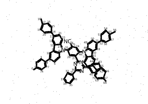 Cc1ccc(-c2ccc3c(c2)c2cc(-c4ccc(C)cc4)ccc2n3-c2cc(-c3nc(-c4ccccc4)nc(-c4ccccc4)n3)c(-n3c4ccc(-c5ccc(C)cc5)cc4c4cc(-c5ccc(C)cc5)ccc43)cc2C#N)cc1